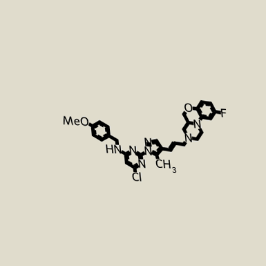 COc1ccc(CNc2cc(Cl)nc(-n3ncc(/C=C/CN4CCN5c6cc(F)ccc6OCC5C4)c3C)n2)cc1